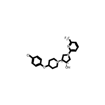 O[C@H]1CN(c2cccc(C(F)(F)F)n2)C[C@@H]1N1CCC(Oc2ccc(Cl)cc2)CC1